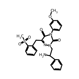 COc1cccc(-n2c(=O)c(Cc3ccccc3S(C)(=O)=O)nn(CC(N)c3ccccc3)c2=O)c1